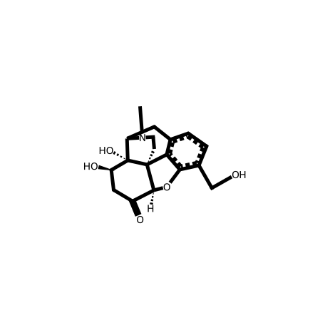 CN1CC[C@]23c4c5ccc(CO)c4O[C@H]2C(=O)C[C@@H](O)[C@@]3(O)C1C5